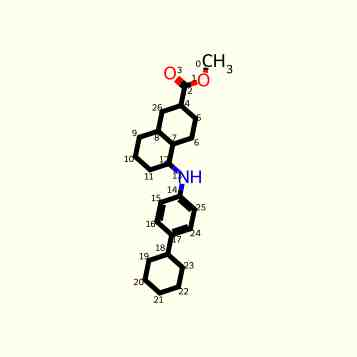 COC(=O)C1CCC2C(CCCC2Nc2ccc(C3CCCCC3)cc2)C1